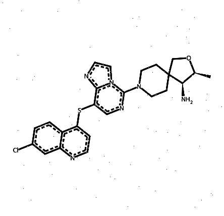 C[C@@H]1OCC2(CCN(c3ncc(Sc4ccnc5cc(Cl)ccc45)c4nccn34)CC2)[C@@H]1N